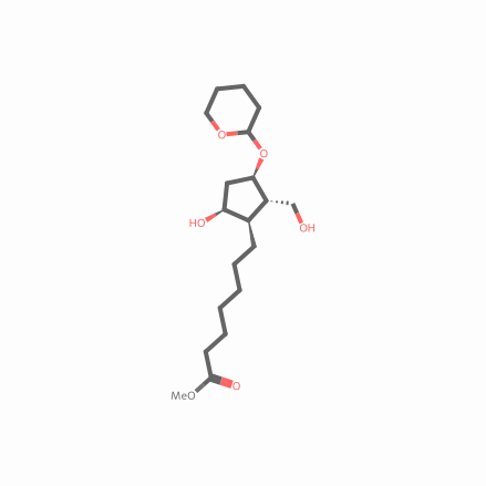 COC(=O)CCCCCC[C@@H]1[C@@H](CO)[C@H](OC2CCCCO2)C[C@@H]1O